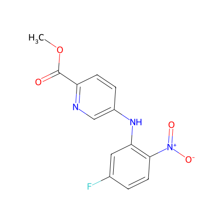 COC(=O)c1ccc(Nc2cc(F)ccc2[N+](=O)[O-])cn1